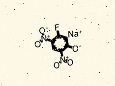 O=[N+]([O-])c1cc([N+](=O)[O-])c(F)cc1[O-].[Na+]